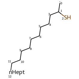 [CH2]C(S)CCCCCCCCCCCCCCCC